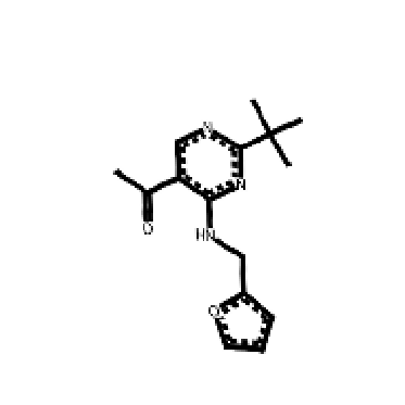 CC(=O)c1cnc(C(C)(C)C)nc1NCc1ccco1